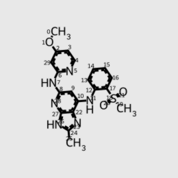 COc1ccnc(Nc2cc(Nc3ccccc3S(C)(=O)=O)c3nc(C)[nH]c3n2)c1